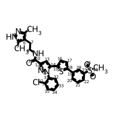 Cc1n[nH]c(C)c1CCNC(=O)c1cc(-c2ccc(-c3cccc(S(C)(=O)=O)c3)s2)n(-c2ccccc2Cl)n1